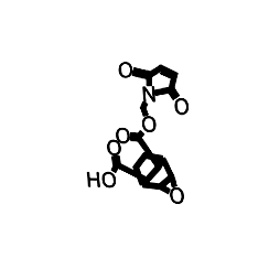 O=C(O)C1C2CCC(C3OC23)C1C(=O)OCN1C(=O)C=CC1=O